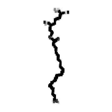 CCCC\C=C/C=C/C=C\CCCCCCCC(=O)OCCC(C)CCC=C(C)C